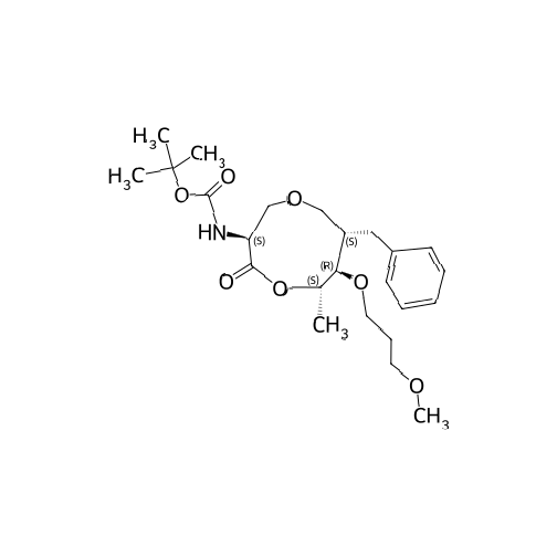 COCCCO[C@@H]1[C@@H](Cc2ccccc2)COC[C@H](NC(=O)OC(C)(C)C)C(=O)O[C@H]1C